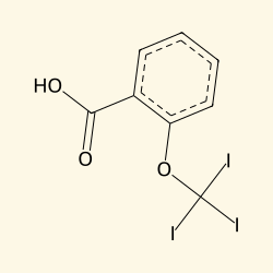 O=C(O)c1ccccc1OC(I)(I)I